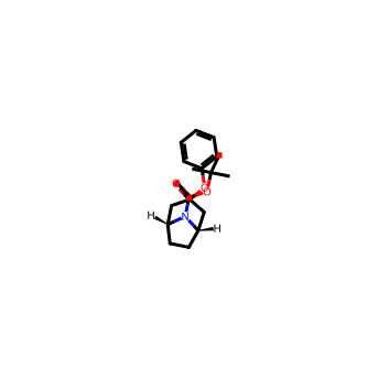 CC(C)(C)OC(=O)N1[C@@H]2CC[C@H]1CC(C)(Oc1ccccc1)C2